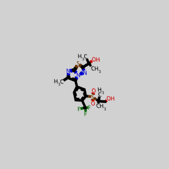 Cc1nc2sc(C(C)(C)O)nn2c1-c1ccc(C(F)(F)F)c(S(=O)(=O)C(C)(C)CO)c1